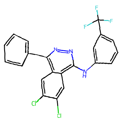 FC(F)(F)c1cccc(Nc2nnc(-c3ccccc3)c3cc(Cl)c(Cl)cc23)c1